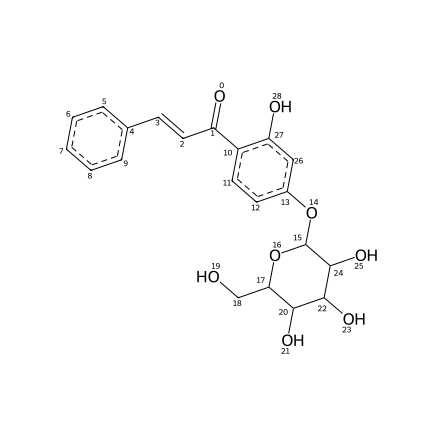 O=C(C=Cc1ccccc1)c1ccc(OC2OC(CO)C(O)C(O)C2O)cc1O